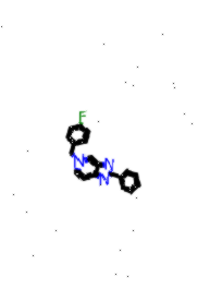 Fc1ccc(Cn2ccc3nc(-c4ccccc4)nc-3c2)cc1